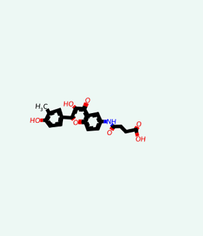 Cc1cc(-c2oc3ccc(NC(=O)CCC(=O)O)cc3c(=O)c2O)ccc1O